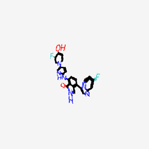 O=C1NCc2c(-c3cnc4cc(F)ccn34)ccc(Nc3ccc(N4CC[C@@H](O)[C@H](F)C4)cn3)c21